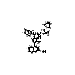 Oc1cc(-c2ccc3c(N4CC5CCC(C4)N5)nc(OCC4(CN5CC6CC6C5)CC4)nc3c2F)c2ccccc2c1